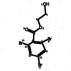 O=C(OCCO)c1c(Br)cc(Br)cc1Br